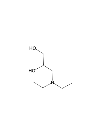 CCN(CC)CC(O)CO